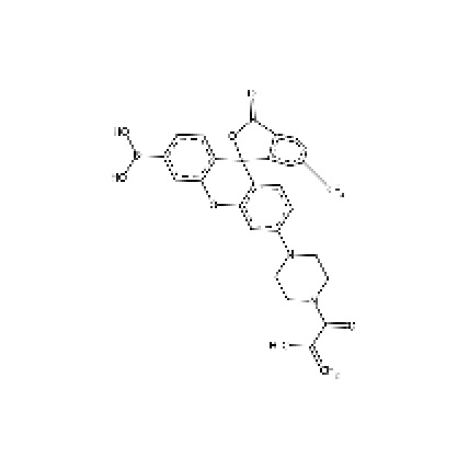 C=C(C)C(=O)N1CCN(c2ccc3c(c2)Oc2cc(B(O)O)ccc2C32OC(=O)c3ccc(C(F)(F)F)cc32)CC1